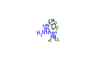 CCn1nc(Nc2cc(NC(C)c3ccc(F)cc3F)nc(N)n2)cc1C1CC1